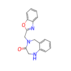 O=C1CNc2ccccc2CN1Cc1nc2ccccc2o1